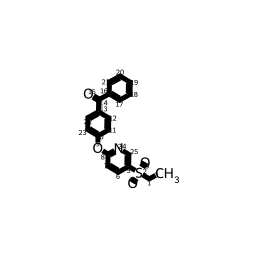 CCS(=O)(=O)c1ccc(Oc2ccc(C(=O)c3ccccc3)cc2)nc1